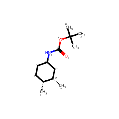 C[C@@H]1CCC(NC(=O)OC(C)(C)C)C[C@@H]1C